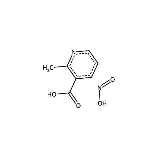 Cc1ncccc1C(=O)O.O=NO